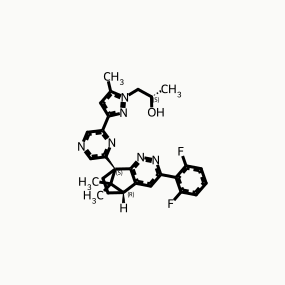 Cc1cc(-c2cncc([C@@]34CC[C@@H](c5cc(-c6c(F)cccc6F)nnc53)C4(C)C)n2)nn1C[C@H](C)O